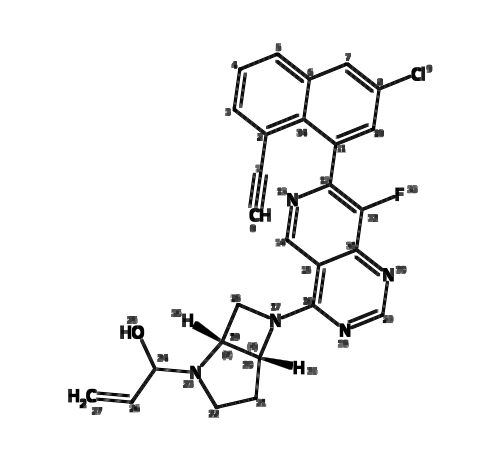 C#Cc1cccc2cc(Cl)cc(-c3ncc4c(N5C[C@@H]6[C@H]5CCN6C(O)C=C)ncnc4c3F)c12